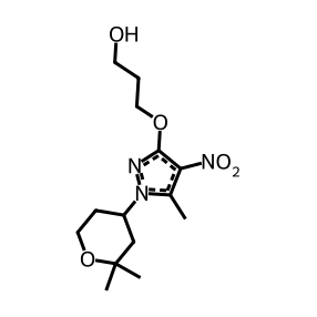 Cc1c([N+](=O)[O-])c(OCCCO)nn1C1CCOC(C)(C)C1